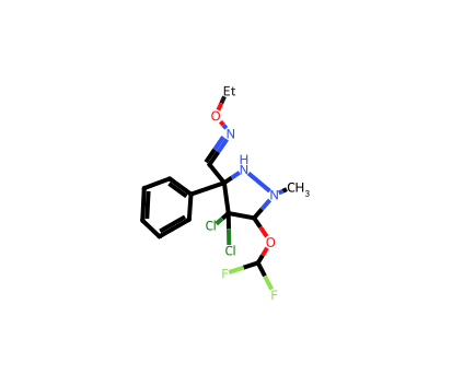 CCON=CC1(c2ccccc2)NN(C)C(OC(F)F)C1(Cl)Cl